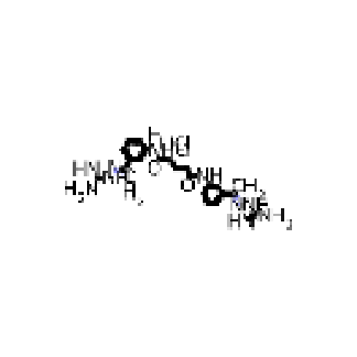 C/C(=N\NC(=N)N)c1cccc(NC(=O)CCCC(=O)Nc2cccc(/C(C)=N/NC(=N)N)c2)c1.Cl.Cl